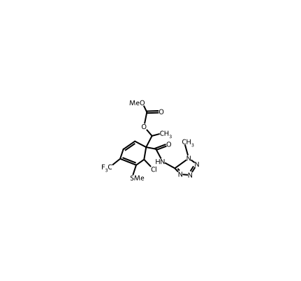 COC(=O)OC(C)C1(C(=O)Nc2nnnn2C)C=CC(C(F)(F)F)=C(SC)C1Cl